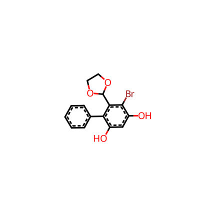 Oc1cc(O)c(-c2ccccc2)c(C2OCCO2)c1Br